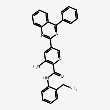 NCc1ccccc1NC(=O)c1ncc(-c2nc(-c3ccccc3)c3ccccc3n2)cc1N